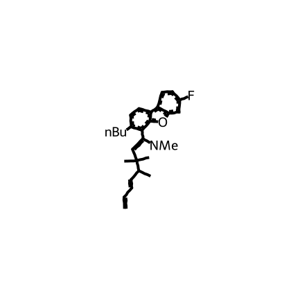 C=C/C=C/C(C)C(C)(C)/C=C(\NC)c1c(CCCC)ccc2c1oc1cc(F)ccc12